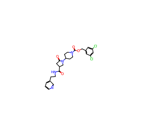 O=C(NCCc1cccnc1)C1CC(=O)N(C2CCN(C(=O)OCc3cc(Cl)cc(Cl)c3)CC2)C1